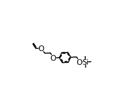 C=COCCOc1ccc(CO[Si](C)(C)C)cc1